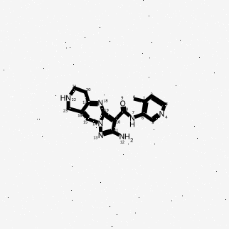 Cc1ccncc1NC(=O)c1c(N)nn2cc3c(nc12)CCNC3